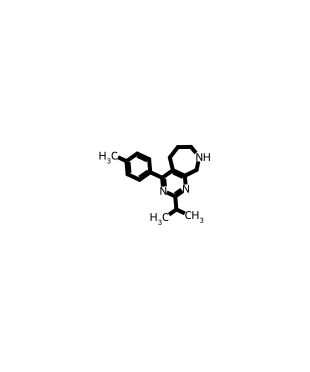 Cc1ccc(-c2nc(C(C)C)nc3c2CCCNC3)cc1